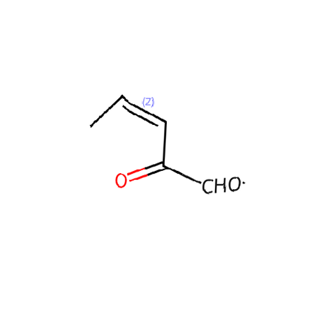 C/C=C\C(=O)[C]=O